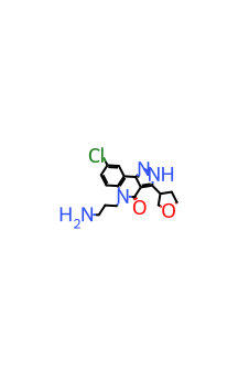 NCCCn1c(=O)c2c(C3CCOC3)[nH]nc2c2cc(Cl)ccc21